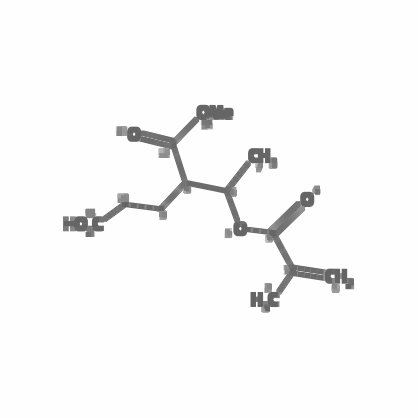 C=C(C)C(=O)OC(C)C(CCC(=O)O)C(=O)OC